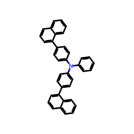 [c]1ccccc1N(c1ccc(-c2cccc3ccccc23)cc1)c1ccc(-c2cccc3ccccc23)cc1